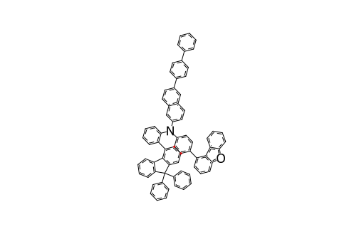 c1ccc(-c2ccc(-c3ccc4cc(N(c5ccc(-c6cccc7oc8ccccc8c67)cc5)c5ccccc5-c5cccc6c5-c5ccccc5C6(c5ccccc5)c5ccccc5)ccc4c3)cc2)cc1